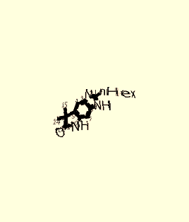 CCCCCCc1nc2cc3c(cc2[nH]1)NC(=O)C3(C)C